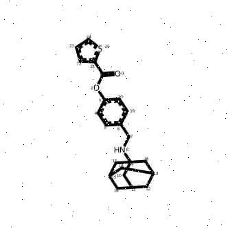 O=C(Oc1ccc(CNC23CC4CC(CC(C4)C2)C3)cc1)c1cccs1